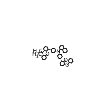 CC1(C)c2ccccc2Oc2c(-c3ccc(N(c4ccc(-c5cccc6c5Oc5ccccc5O6)cc4)c4cccc5ccccc45)cc3)cccc21